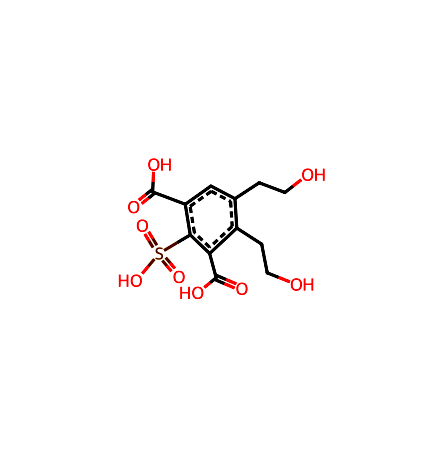 O=C(O)c1cc(CCO)c(CCO)c(C(=O)O)c1S(=O)(=O)O